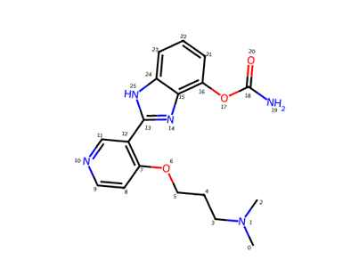 CN(C)CCCOc1ccncc1-c1nc2c(OC(N)=O)cccc2[nH]1